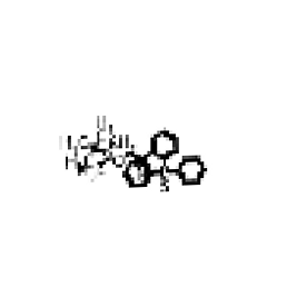 CC(C)(C)[Si](C)(C)OC[C@H](N)c1ccccc1P(=S)(c1ccccc1)c1ccccc1